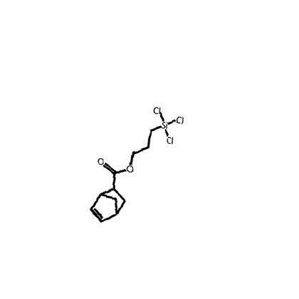 O=C(OCCC[Si](Cl)(Cl)Cl)C1CC2C=CC1C2